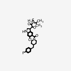 CC(C)N(C)C(=O)C(=O)C1CNc2cc(Cl)c(C(=O)N3CCC(Cc4ccc(F)cc4)CC3)cc21